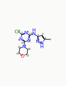 Cc1cc(Nc2nc(Cl)nc(N3CCOCC3)n2)n[nH]1